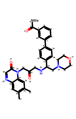 CNC(=O)c1cccc(-c2ccc(C(CN3CCOCC3)NCC(=O)Cn3c(=O)cnc4cc(C)c(C)cc43)cc2)c1